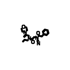 C=C(CN(CCC)C(=O)CN(C#N)C(=O)Cc1ccccc1)N1CCOCC1